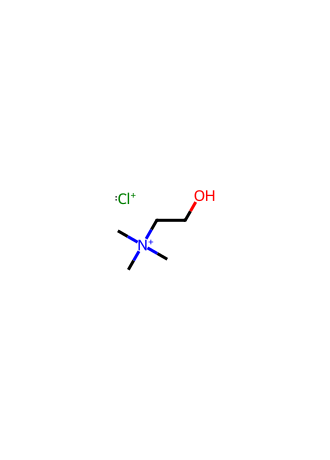 C[N+](C)(C)CCO.[Cl+]